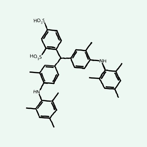 Cc1cc(C)c(Nc2ccc(C(c3ccc(Nc4c(C)cc(C)cc4C)c(C)c3)c3ccc(S(=O)(=O)O)cc3S(=O)(=O)O)cc2C)c(C)c1